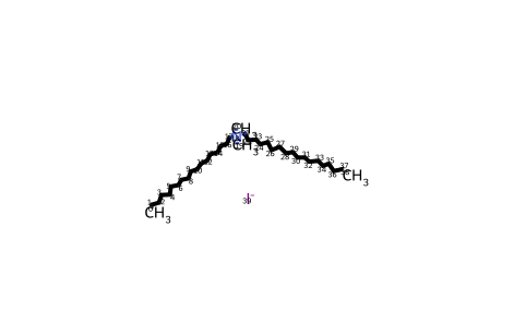 CCCCCCCCCCCCCCCCCC[N+](C)(C)CCCCCCCCCCCCCCCCCC.[I-]